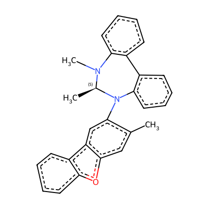 Cc1cc2oc3ccccc3c2cc1N1c2ccccc2-c2ccccc2N(C)[C@@H]1C